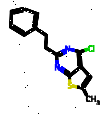 Cc1cc2c(Cl)nc(CCc3ccccc3)nc2s1